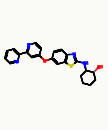 O[C@@H]1CCCC[C@H]1Nc1nc2ccc(Oc3ccnc(-c4ccccn4)c3)cc2s1